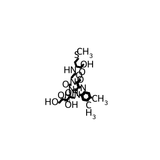 CSCCC(NC(=O)Cn1c(=O)nc2n(C[C@@H](O)[C@@H](O)[C@@H](O)CO)c3cc(C)c(C)cc3nc-2c1=O)C(=O)O